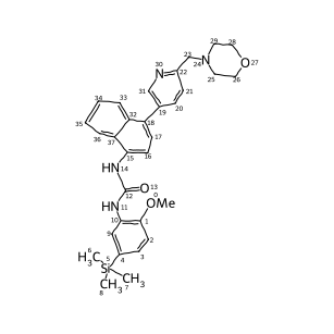 COc1ccc([Si](C)(C)C)cc1NC(=O)Nc1ccc(-c2ccc(CN3CCOCC3)nc2)c2ccccc12